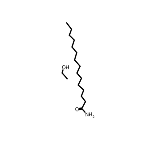 CCCCCCCCCCCCCCC(N)=O.CCO